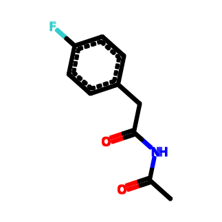 CC(=O)NC(=O)Cc1ccc(F)cc1